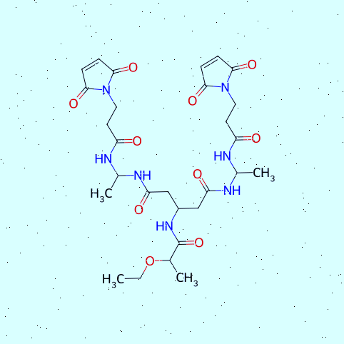 CCOC(C)C(=O)NC(CC(=O)NC(C)NC(=O)CCN1C(=O)C=CC1=O)CC(=O)NC(C)NC(=O)CCN1C(=O)C=CC1=O